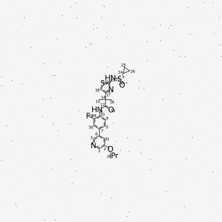 CC(C)Oc1cncc(-c2ccc(NC(=O)C(C)(C)c3csc(N[S+]([O-])C4CC4)n3)c(F)c2)c1